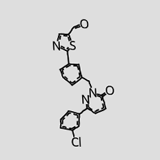 O=Cc1cnc(-c2cccc(Cn3nc(-c4cccc(Cl)c4)ccc3=O)c2)s1